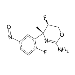 C[C@]1(c2cc(N=O)ccc2F)N=C(N)OC[C@@H]1F